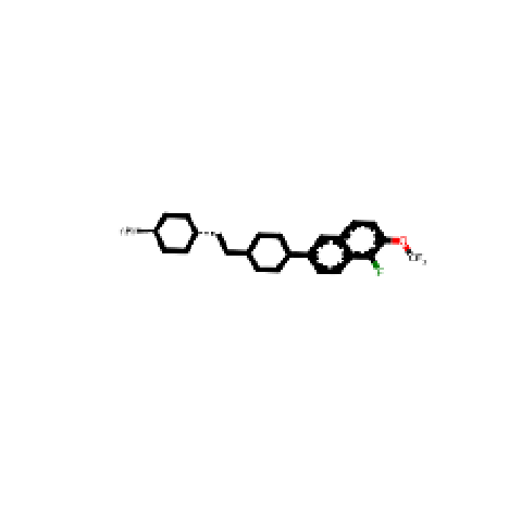 CCC[C@H]1CC[C@H](CCC2CCC(c3ccc4c(F)c(OC(F)(F)F)ccc4c3)CC2)CC1